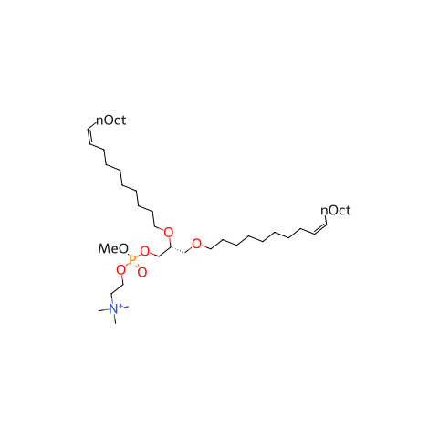 CCCCCCCC/C=C\CCCCCCCCOC[C@H](COP(=O)(OC)OCC[N+](C)(C)C)OCCCCCCCC/C=C\CCCCCCCC